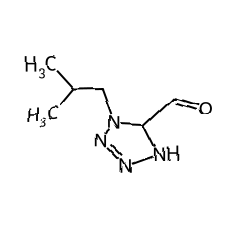 CC(C)CN1N=NNC1C=O